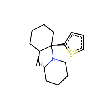 C[C@H]1CCCC[C@]1(c1cccs1)N1CCCCC1